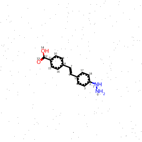 NNc1ccc(/C=C/c2ccc(C(=O)O)cc2)cc1